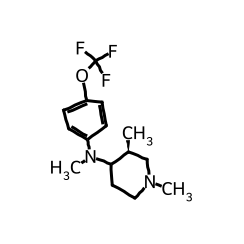 C[C@H]1CN(C)CCC1N(C)c1ccc(OC(F)(F)F)cc1